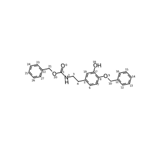 O=C(NCCc1ccc(OCc2ccccc2)c(O)c1)OCc1ccccc1